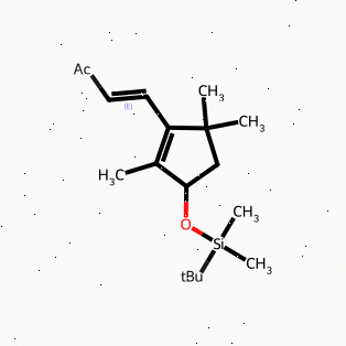 CC(=O)/C=C/C1=C(C)C(O[Si](C)(C)C(C)(C)C)CC1(C)C